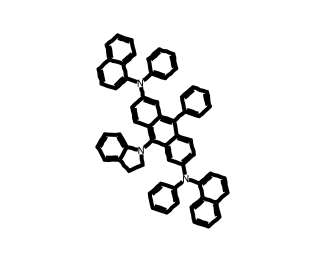 c1ccc(-c2c3cc(N(c4ccccc4)c4cccc5ccccc45)ccc3c(N3CCc4ccccc43)c3cc(N(c4ccccc4)c4cccc5ccccc45)ccc23)cc1